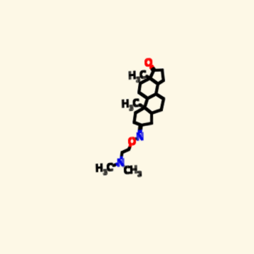 CN(C)CCON=C1CC[C@@]2(C)C(CCC3C2CC[C@]2(C)C(=O)CCC32)C1